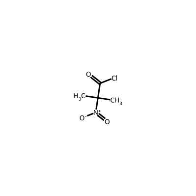 CC(C)(C(=O)Cl)[N+](=O)[O-]